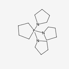 C1CCN(P2(N3CCCC3)(N3CCCC3)CCCC2)C1